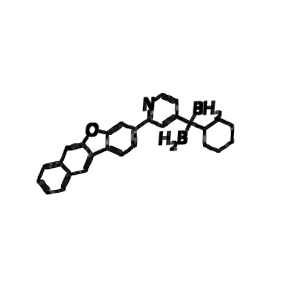 BC(B)(c1ccnc(-c2ccc3c(c2)oc2cc4ccccc4cc23)c1)C1CCCCC1